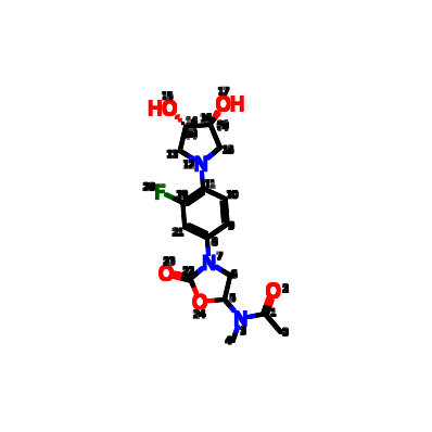 CC(=O)N(C)C1CN(c2ccc(N3C[C@H](O)[C@@H](O)C3)c(F)c2)C(=O)O1